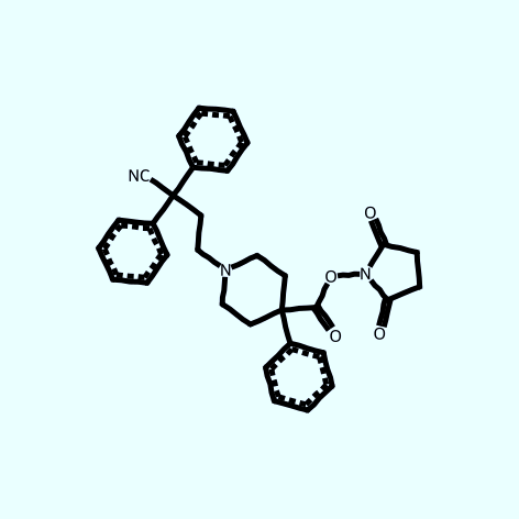 N#CC(CCN1CCC(C(=O)ON2C(=O)CCC2=O)(c2ccccc2)CC1)(c1ccccc1)c1ccccc1